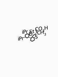 CCOc1c(-c2cccc3sc(C(C)=CC(=O)O)cc23)cc(C(C)C)cc1C(C)C